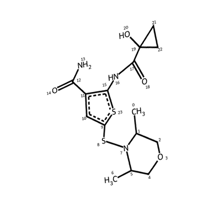 CC1COCC(C)N1Sc1cc(C(N)=O)c(NC(=O)C2(O)CC2)s1